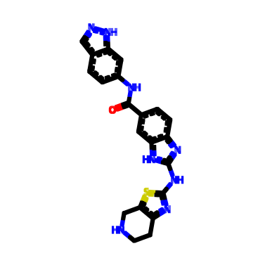 O=C(Nc1ccc2cn[nH]c2c1)c1ccc2nc(Nc3nc4c(s3)CNCC4)[nH]c2c1